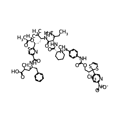 CC[C@H](C)[C@H](NC(=O)[C@H]1CCCC[N+]1(C)Cc1ccc(NC(=O)OC[C@@H](C)C2(c3ccc([N+](=O)[O-])nc3)SC=CS2)cc1)C(=O)N(C)[C@H](C[C@@H](OC(C)=O)c1nc(C(=O)N[C@@H](Cc2ccccc2)C[C@H](C)C(=O)O)cs1)C(C)C